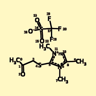 CC(=O)CSc1n(C)c(C)c[n+]1C.O=S(=O)([O-])C(F)(F)F